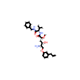 C=CCc1cccc(OC[C@H](N)[C@@H](O)C[C@@H](OC)C(=O)N[C@H](C(=O)NCc2ccccc2)C(C)C)c1